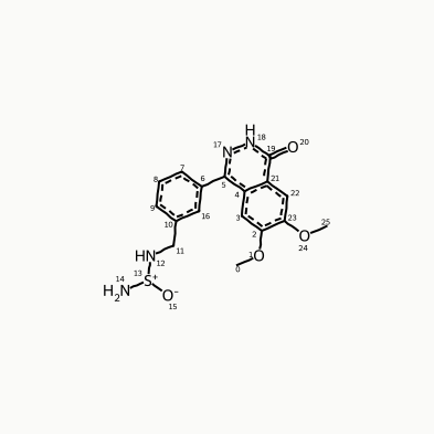 COc1cc2c(-c3cccc(CN[S+](N)[O-])c3)n[nH]c(=O)c2cc1OC